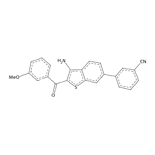 COc1cccc(C(=O)c2sc3cc(-c4cccc(C#N)c4)ccc3c2N)c1